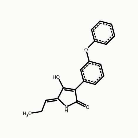 CC/C=C1\NC(=O)C(c2cccc(Oc3ccccc3)c2)=C1O